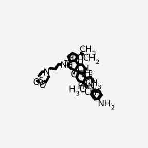 C=C(C)[C@@H]1CC[C@]2(CNCCCN3CCS(=O)(=O)CC3)CC[C@]3(C)[C@H](CC[C@@H]4[C@@]5(C)CCN(c6ccc(N)cc6)C(C)(C)[C@@H]5CC[C@]43C)[C@@H]12